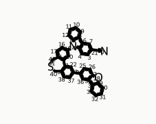 N#Cc1ccc2c(c1)c1ccccc1n2-c1ccc2c(c1)-c1cc(-c3ccc4oc5ccccc5c4c3)ccc1CSC2